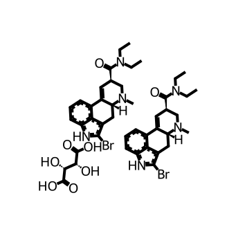 CCN(CC)C(=O)[C@@H]1C=C2c3cccc4[nH]c(Br)c(c34)C[C@H]2N(C)C1.CCN(CC)C(=O)[C@@H]1C=C2c3cccc4[nH]c(Br)c(c34)C[C@H]2N(C)C1.O=C(O)[C@H](O)[C@@H](O)C(=O)O